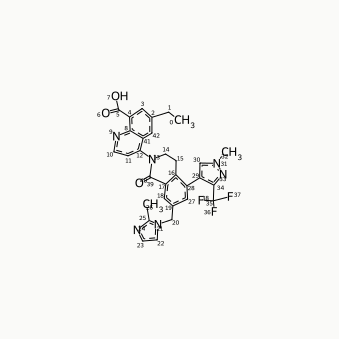 CCc1cc(C(=O)O)c2nccc(N3CCc4c(cc(Cn5ccnc5C)cc4-c4cn(C)nc4C(F)(F)F)C3=O)c2c1